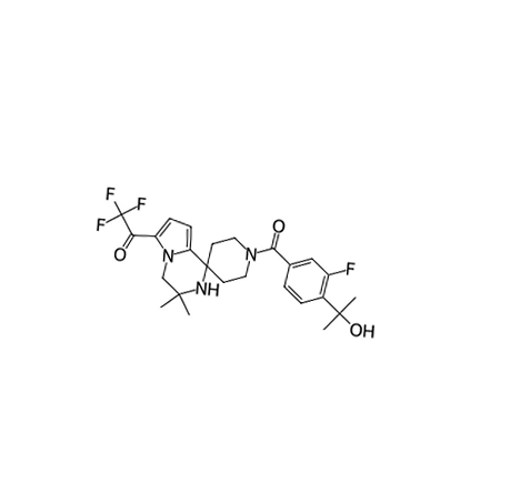 CC1(C)Cn2c(C(=O)C(F)(F)F)ccc2C2(CCN(C(=O)c3ccc(C(C)(C)O)c(F)c3)CC2)N1